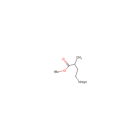 CCCCCCCCCC(C)C(=O)OC(C)(C)C